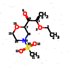 C=C(OCC)C(=O)C1CN(S(C)(=O)=O)CCO1